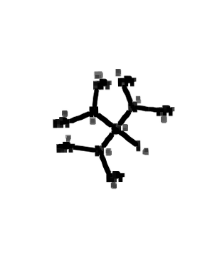 CCCN(CCC)[Si](I)(N(CCC)CCC)N(CCC)CCC